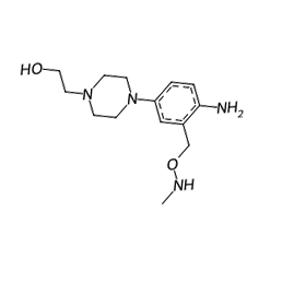 CNOCc1cc(N2CCN(CCO)CC2)ccc1N